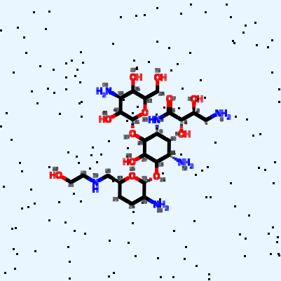 NC[C@H](O)[C@H](O)C(=O)N[C@@H]1C[C@H](N)C(O[C@H]2O[C@H](CNCCO)CCC2N)C(O)C1O[C@H]1OC(CO)C(O)[C@H](N)C1O